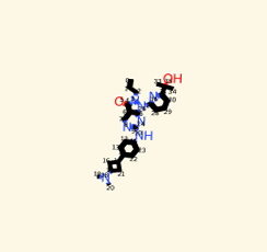 C=CCn1c(=O)c2cnc(Nc3ccc(C4CC(N(C)C)C4)cc3)nc2n1-c1cccc(C(C)(C)O)n1